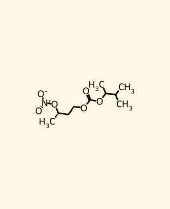 CC(C)C(C)OC(=O)OCC[C@@H](C)O[N+](=O)[O-]